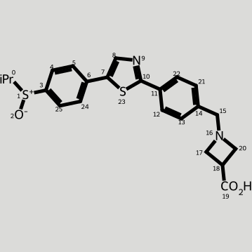 CC(C)[S+]([O-])c1ccc(-c2cnc(-c3ccc(CN4CC(C(=O)O)C4)cc3)s2)cc1